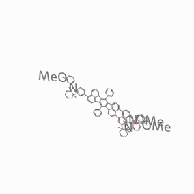 COc1cccc(N2c3ccc(-c4ccc5c6c(-c7ccccc7)c7c8ccc(-c9ccc%10c(c9)C9(C)CCCCC9(C)N%10c9cccc(OC)c9)c9c(-c%10ccc%11c(c%10)C%10(C)CCCCC%10(C)N%11c%10cccc(OC)c%10)ccc(c7c(-c7ccccc7)c6c6cccc4c65)c98)cc3C3(C)CCCCC23C)c1